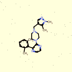 Cc1cccc(C)c1-c1nccnc1N1CCN(Cc2cnn(C)c2C)CC1